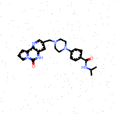 CC(C)NC(=O)c1ccc(N2CCN(Cc3cnc4c(c3)[nH]c(=O)n3cccc43)CC2)cc1